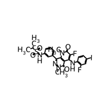 CC(C)S(=O)(=O)Nc1cccc(-c2nn(C)c(=O)c3c(Nc4ccc(I)cc4F)c(F)c(=O)n(C)c23)c1